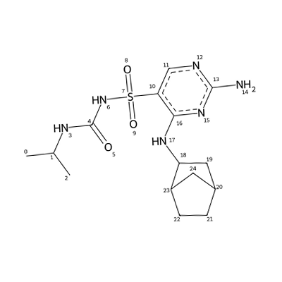 CC(C)NC(=O)NS(=O)(=O)c1cnc(N)nc1NC1CC2CCC1C2